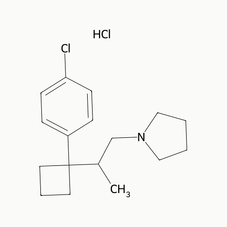 CC(CN1CCCC1)C1(c2ccc(Cl)cc2)CCC1.Cl